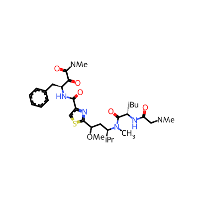 CCC(C)[C@H](NC(=O)CNC)C(=O)N(C)[C@H](CC(OC)c1nc(C(=O)N[C@@H](Cc2ccccc2)C(=O)C(=O)NC)cs1)C(C)C